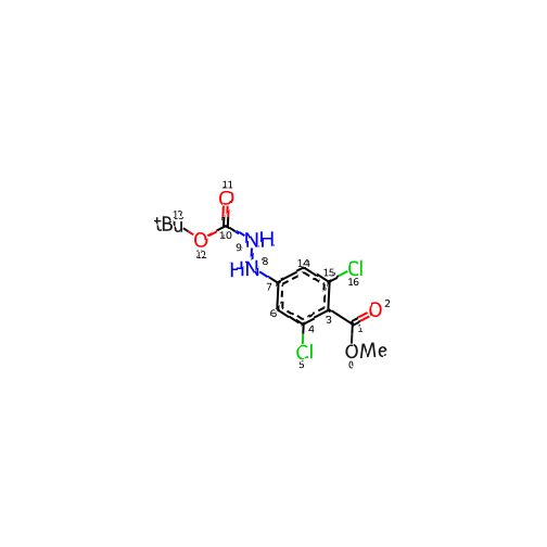 COC(=O)c1c(Cl)cc(NNC(=O)OC(C)(C)C)cc1Cl